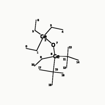 C[CH2][Ge]([CH2]C)([CH2]C)[O][Ge]([CH2]C)([C](C)(C)C)[C](C)(C)C